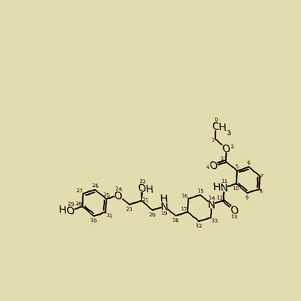 CCOC(=O)c1ccccc1NC(=O)N1CCC(CNC[C@H](O)COc2ccc(O)cc2)CC1